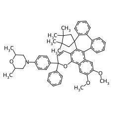 COc1cc2c3c(c4c(c2cc1OC)-c1ccccc1-c1ccccc1C41CC(C)(C)C(C)(C)C1)C=CC(c1ccccc1)(c1ccc(N2CC(C)OC(C)C2)cc1)O3